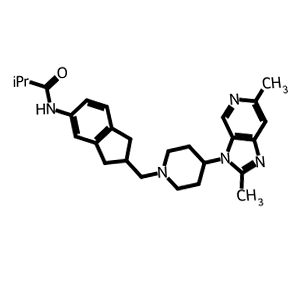 Cc1cc2nc(C)n(C3CCN(CC4Cc5ccc(NC(=O)C(C)C)cc5C4)CC3)c2cn1